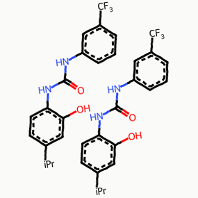 CC(C)c1ccc(NC(=O)Nc2cccc(C(F)(F)F)c2)c(O)c1.CC(C)c1ccc(NC(=O)Nc2cccc(C(F)(F)F)c2)c(O)c1